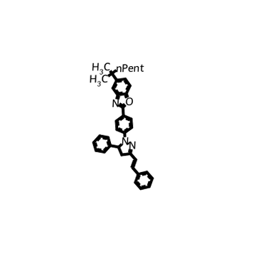 CCCCCC(C)(C)c1ccc2oc(-c3ccc(N4N=C(C=Cc5ccccc5)CC4c4ccccc4)cc3)nc2c1